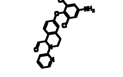 Nc1cc(Cl)c(Oc2ccc3c(c2)CCN(c2ccccn2)C3C=O)c(Cl)c1